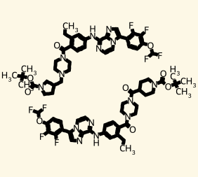 CCc1cc(Nc2nccn3c(-c4ccc(OC(F)F)c(F)c4F)cnc23)ccc1C(=O)N1CCN(C(=O)C2CCN(C(=O)OC(C)(C)C)CC2)CC1.CCc1cc(Nc2nccn3c(-c4ccc(OC(F)F)c(F)c4F)cnc23)ccc1C(=O)N1CCN(CC2CCN(C(=O)OC(C)(C)C)C2)CC1